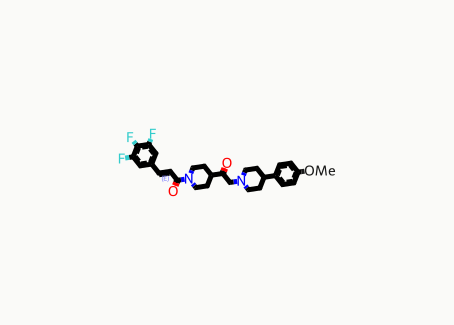 COc1ccc(C2CCN(CC(=O)C3CCN(C(=O)/C=C/c4cc(F)c(F)c(F)c4)CC3)CC2)cc1